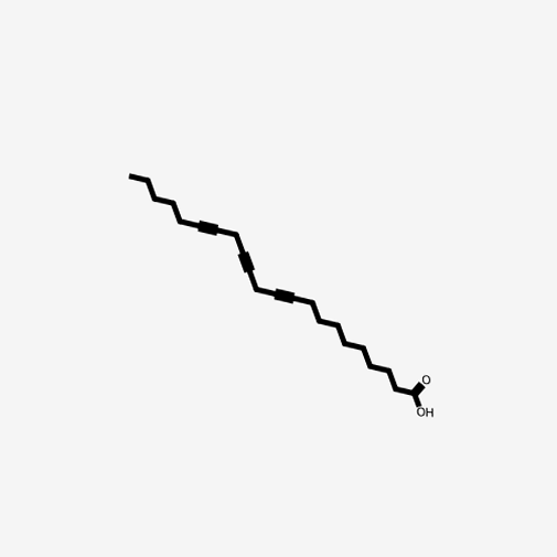 CCCCCC#CCC#CCC#CCCCCCCCCC(=O)O